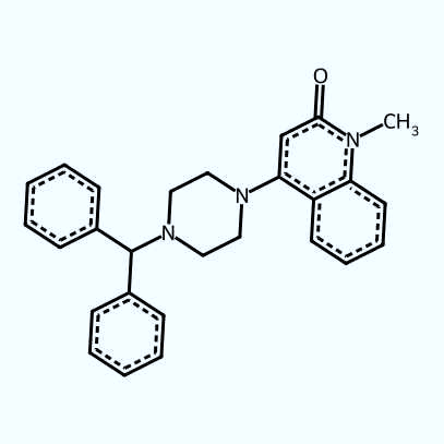 Cn1c(=O)cc(N2CCN(C(c3ccccc3)c3ccccc3)CC2)c2ccccc21